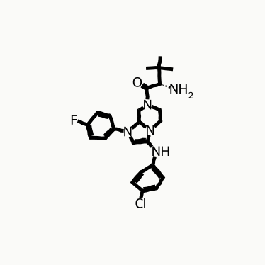 CC(C)(C)[C@H](N)C(=O)N1CCN2C(Nc3ccc(Cl)cc3)=CN(c3ccc(F)cc3)C2C1